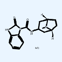 CN1[C@@H]2CC[C@H]1CC(NC(=O)n1c(=O)[nH]c3ccccc31)C2.Cl